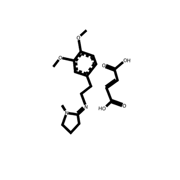 COc1ccc(CCN=C2CCCN2C)cc1OC.O=C(O)/C=C/C(=O)O